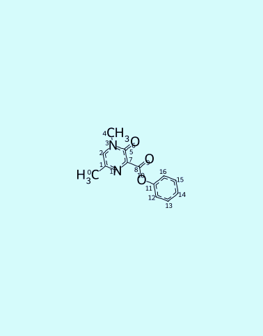 Cc1cn(C)c(=O)c(C(=O)Oc2ccccc2)n1